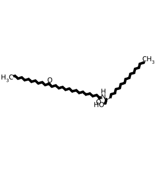 CCCCCCCCCCCCCCCC[C@H](CO)NC(=O)CCCCCCCCCCCCCCC(=O)CCCCCCCCCCC